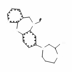 CC1CN(c2ccc3c(c2)N(C=O)Cc2cccnc2N3)CCCO1